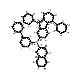 c1ccc(-c2cccc(N(c3ccc4ccccc4c3)c3ccc4c5c(-c6ccccc6)cccc5n(-c5ccccc5)c4c3)c2)cc1